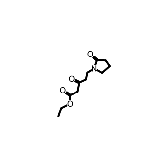 CCOC(=O)CC(=O)CCN1CCCC1=O